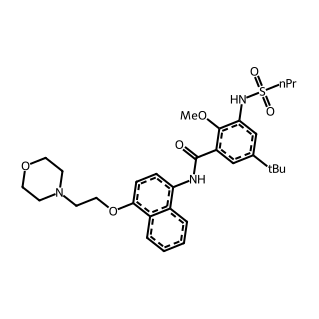 CCCS(=O)(=O)Nc1cc(C(C)(C)C)cc(C(=O)Nc2ccc(OCCN3CCOCC3)c3ccccc23)c1OC